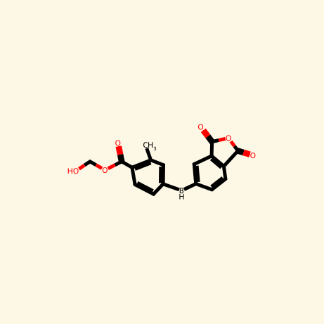 Cc1cc(Bc2ccc3c(c2)C(=O)OC3=O)ccc1C(=O)OCO